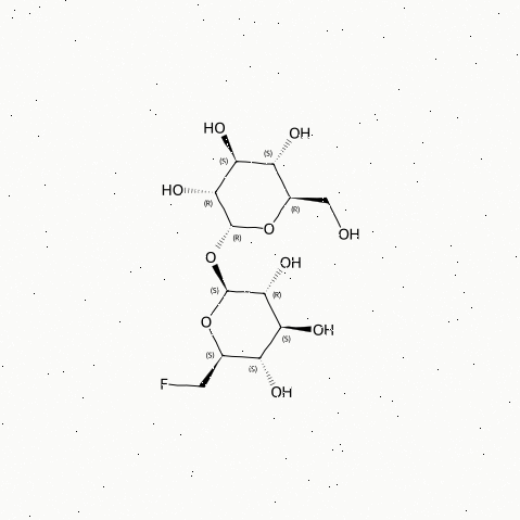 OC[C@H]1O[C@H](O[C@@H]2O[C@H](CF)[C@@H](O)[C@H](O)[C@H]2O)[C@H](O)[C@@H](O)[C@@H]1O